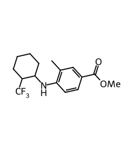 COC(=O)c1ccc(NC2CCCCC2C(F)(F)F)c(C)c1